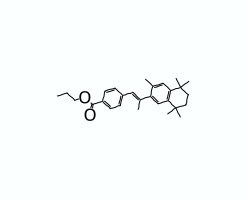 CCCOC(=O)c1ccc(C=C(C)c2cc3c(cc2C)C(C)(C)CCC3(C)C)cc1